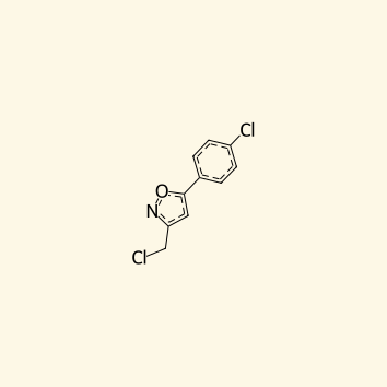 ClCc1cc(-c2ccc(Cl)cc2)on1